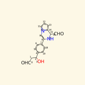 O=CCC(O)c1ccc(C2=Cn3cccc3C(C=O)N2)cc1